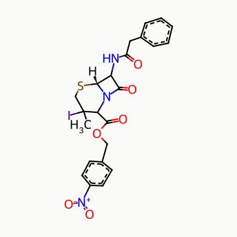 CC1(I)CS[C@@H]2C(NC(=O)Cc3ccccc3)C(=O)N2C1C(=O)OCc1ccc([N+](=O)[O-])cc1